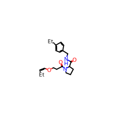 CC/C=C\OCCC(=O)N1CCCC1C(=O)NCc1ccc(CC)cc1